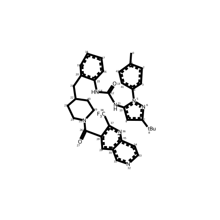 Cc1ccc(-n2nc(C(C)(C)C)cc2NC(=O)Nc2ccccc2CC2CCN(C(=O)c3cc4cnccc4nc3C(F)(F)F)CC2)cc1